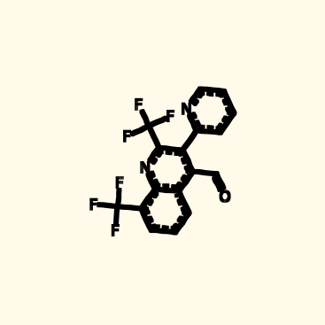 O=Cc1c(-c2ccccn2)c(C(F)(F)F)nc2c(C(F)(F)F)cccc12